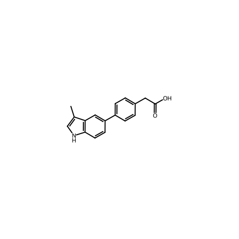 Cc1c[nH]c2ccc(-c3ccc(CC(=O)O)cc3)cc12